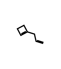 C=CCC1=CCC1